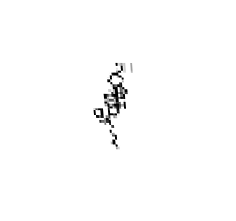 CC(C)CCC[C@@H](C)[C@@]1(Cl)CC[C@H]2[C@@H]3CCC4C[C@H](O)CC[C@]4(C)[C@H]3CC[C@@]21C